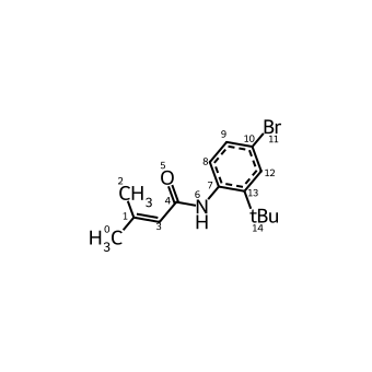 CC(C)=CC(=O)Nc1ccc(Br)cc1C(C)(C)C